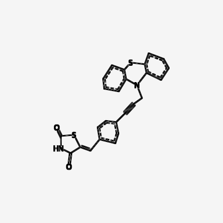 O=C1NC(=O)C(=Cc2ccc(C#CCN3c4ccccc4Sc4ccccc43)cc2)S1